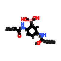 COC(=O)Nc1ccc(NC(=O)OC)c(B(O)O)c1